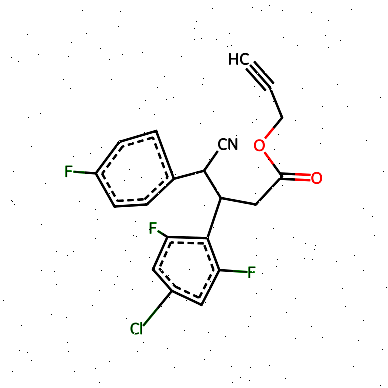 C#CCOC(=O)CC(c1c(F)cc(Cl)cc1F)C(C#N)c1ccc(F)cc1